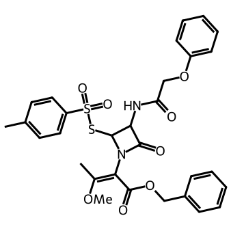 CO/C(C)=C(\C(=O)OCc1ccccc1)N1C(=O)C(NC(=O)COc2ccccc2)C1SS(=O)(=O)c1ccc(C)cc1